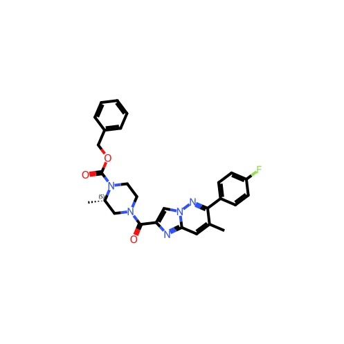 Cc1cc2nc(C(=O)N3CCN(C(=O)OCc4ccccc4)[C@@H](C)C3)cn2nc1-c1ccc(F)cc1